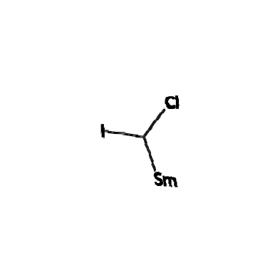 Cl[CH](I)[Sm]